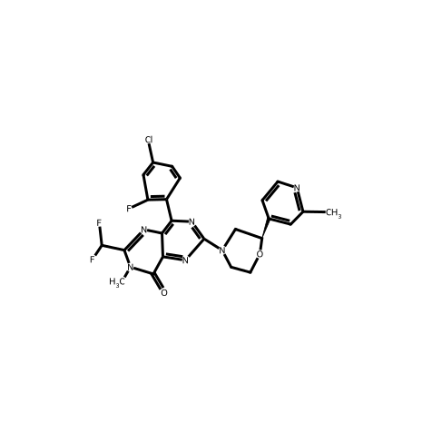 Cc1cc([C@@H]2CN(c3nc(-c4ccc(Cl)cc4F)c4nc(C(F)F)n(C)c(=O)c4n3)CCO2)ccn1